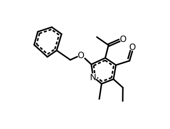 CCc1c(C)nc(OCc2ccccc2)c(C(C)=O)c1C=O